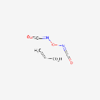 C=CC(=O)O.O=C=NON=C=O